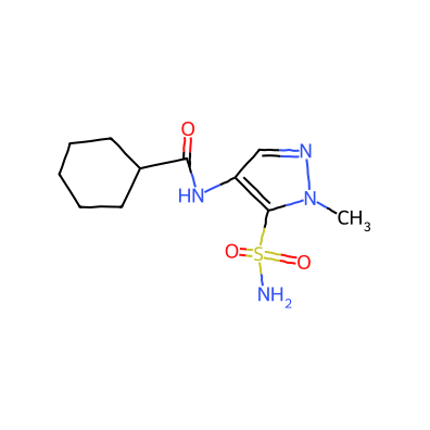 Cn1ncc(NC(=O)C2CCCCC2)c1S(N)(=O)=O